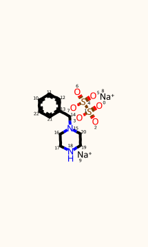 O=S(=O)([O-])S(=O)(=O)[O-].[Na+].[Na+].c1ccc(CN2CCNCC2)cc1